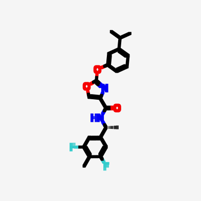 Cc1c(F)cc([C@@H](C)NC(=O)c2coc(Oc3cccc(C(C)C)c3)n2)cc1F